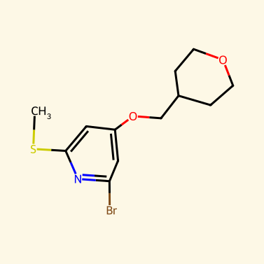 CSc1cc(OCC2CCOCC2)cc(Br)n1